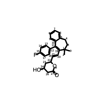 CC1(C)CCc2ccccc2C(c2ccc(F)cc2)=C1C=CC1CC(O)CC(=O)O1